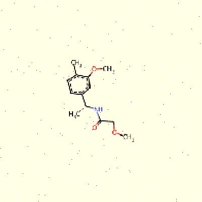 COCC(=O)N[C@H](C)c1ccc(C)c(OC)c1